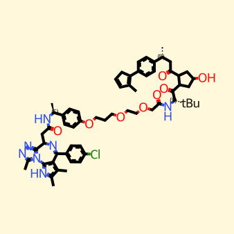 CC1=C(c2ccc([C@H](C)CC(=O)C3CC(O)CC3C(=O)[C@@H](NC(=O)COCCOCCCOc3ccc([C@H](C)NC(=O)CC4N=C(c5ccc(Cl)cc5)c5c([nH]c(C)c5C)-n5c(C)nnc54)cc3)C(C)(C)C)cc2)CC=C1